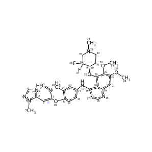 C=N/C(=C\c1ncnn1C)Oc1ccc(Nc2ncnc3cc(OC)c(OC)c(O[C@@H]4CCN(C)CC4(F)F)c23)cc1C